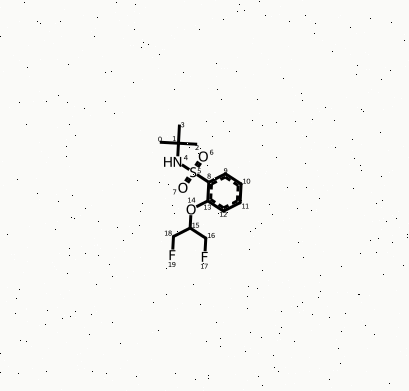 CC(C)(C)NS(=O)(=O)c1ccccc1OC(CF)CF